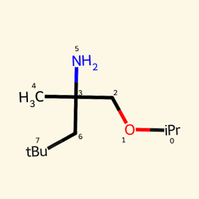 CC(C)OCC(C)(N)CC(C)(C)C